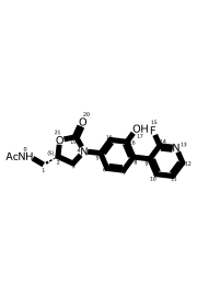 CC(=O)NC[C@H]1CN(c2ccc(-c3cccnc3F)c(O)c2)C(=O)O1